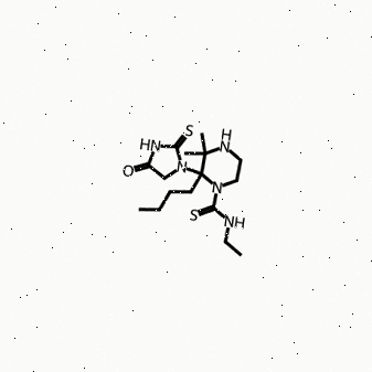 CCCCC1(N2CC(=O)NC2=S)N(C(=S)NCC)CCNC1(C)C